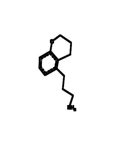 NCCCc1cccc2c1CCCO2